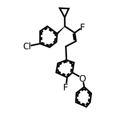 F/C(=C/Cc1ccc(F)c(Oc2ccccc2)c1)[C@@H](c1ccc(Cl)cc1)C1CC1